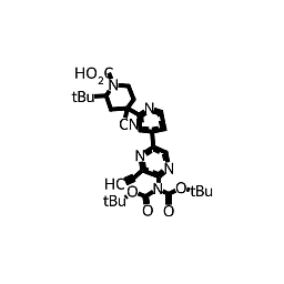 C#Cc1nc(-c2ccnc(C3(C#N)CCN(C(=O)O)C(C(C)(C)C)C3)c2)cnc1N(C(=O)OC(C)(C)C)C(=O)OC(C)(C)C